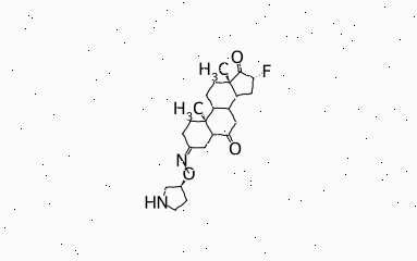 C[C@]12CC/C(=N/O[C@H]3CCNC3)CC1C(=O)CC1C2CC[C@]2(C)C(=O)[C@H](F)CC12